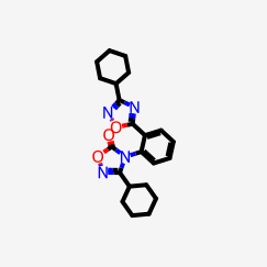 O=c1onc(C2CCCCC2)n1-c1ccccc1-c1nc(C2CCCCC2)no1